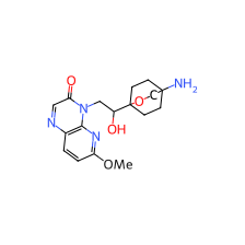 COc1ccc2ncc(=O)n(CC(O)C34CCC(N)(CC3)CO4)c2n1